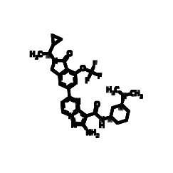 C[C@@H](C1CC1)N1Cc2cc(-c3ccn4nc(N)c(C(=O)N[C@@H]5CCC[C@H](N(C)C)C5)c4n3)cc(OC(F)(F)F)c2C1=O